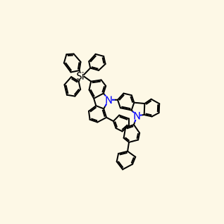 c1ccc(-c2ccc(-n3c4ccccc4c4ccc(-n5c6ccc([Si](c7ccccc7)(c7ccccc7)c7ccccc7)cc6c6cccc(-c7ccccc7)c65)cc43)cc2)cc1